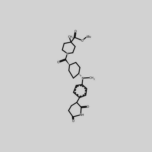 CN(c1ccc(C2CCC(=O)NC2=O)cc1)[C@H]1CC[C@H](C(=O)N2CCC(C)(C(=O)OC(C)(C)C)CC2)CC1